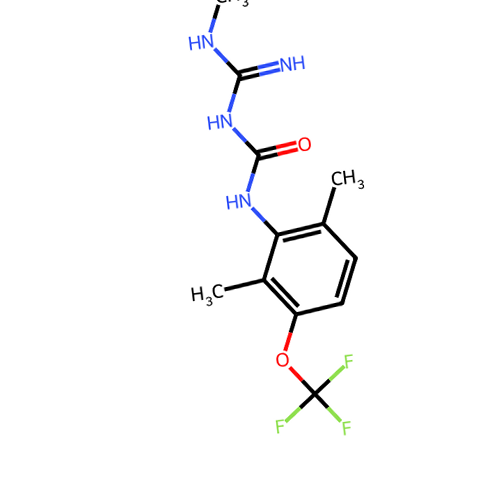 CNC(=N)NC(=O)Nc1c(C)ccc(OC(F)(F)F)c1C